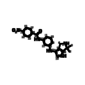 CC1(C)NCc2c(Nc3cccc(NC(=O)c4ccc([N+](=O)[O-])cc4)c3)n[nH]c21